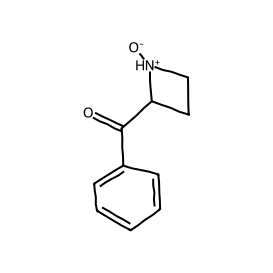 O=C(c1ccccc1)C1CC[NH+]1[O-]